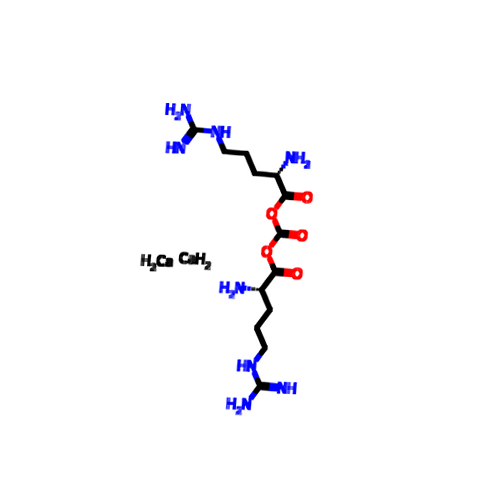 N=C(N)NCCC[C@H](N)C(=O)OC(=O)OC(=O)[C@@H](N)CCCNC(=N)N.[CaH2].[CaH2]